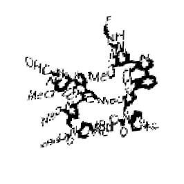 COc1nc(-c2cccc(-c3ccnc(-c4cc(OC)c5nc(C=O)nn5c4)c3Cl)c2Cl)ccc1CN(C(=O)OC(C)(C)C)C1CCN(C(C)=O)CC1.COc1nc(-c2cccc(-c3ccnc(-c4cc(OC)c5nc(CNCCCF)nn5c4)c3Cl)c2Cl)ccc1CN(C(=O)OC(C)(C)C)C1CCN(C(C)=O)CC1